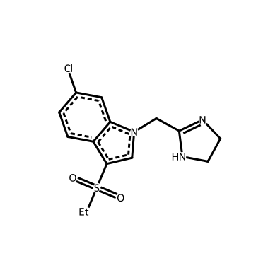 CCS(=O)(=O)c1cn(CC2=NCCN2)c2cc(Cl)ccc12